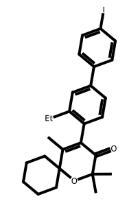 CCc1cc(-c2ccc(I)cc2)ccc1C1=C(C)C2(CCCCC2)OC(C)(C)C1=O